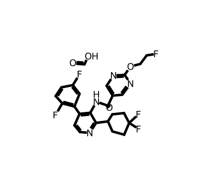 O=C(Nc1c(-c2cc(F)ccc2F)ccnc1C1CCC(F)(F)CC1)c1cnc(OCCF)nc1.O=CO